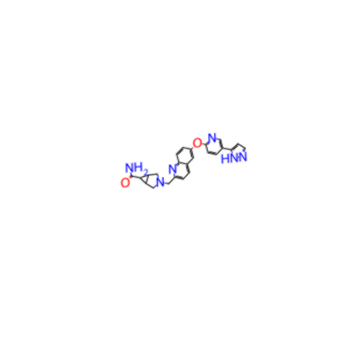 NC(=O)C1C2CN(Cc3ccc4cc(Oc5ccc(-c6ccn[nH]6)cn5)ccc4n3)CC21